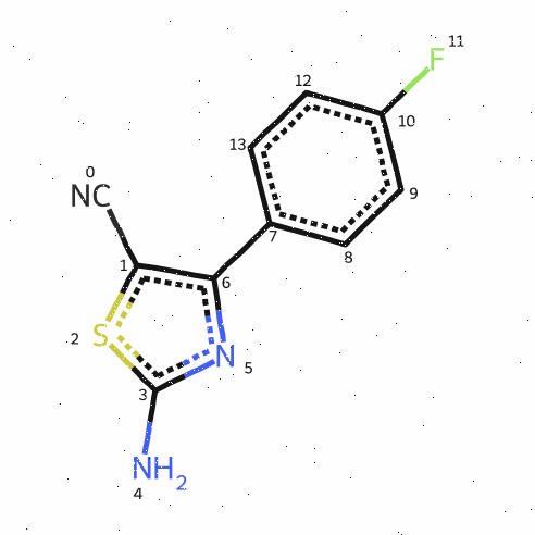 N#Cc1sc(N)nc1-c1ccc(F)cc1